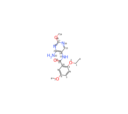 CCOc1ccc(OC)cc1C(=O)Nc1cnc(OC)nc1N